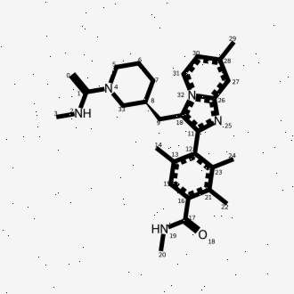 C=C(NC)N1CCC[C@@H](Cc2c(-c3c(C)cc(C(=O)NC)c(C)c3C)nc3cc(C)ccn23)C1